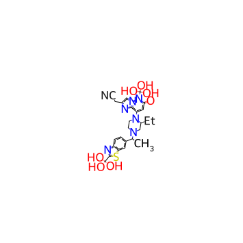 CCC1CN(C(C)c2ccc3nc(C(O)(O)O)sc3c2)CCN1c1cc(=O)n(C(O)(O)O)n2cc(CC#N)nc12